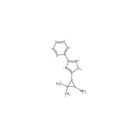 CC1(C)C(N)C1c1nc(-c2ccccc2)no1